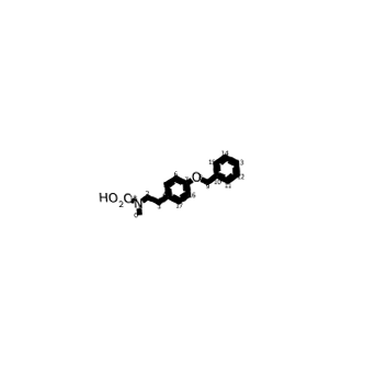 CN(CCc1ccc(OCc2ccccc2)cc1)C(=O)O